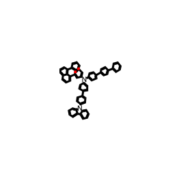 c1ccc(-c2ccc(-c3ccc(N(c4ccc(-c5ccc(-n6c7ccccc7c7ccccc76)cc5)cc4)c4cccc(-c5cccc6cccc(-c7ccccc7)c56)c4)cc3)cc2)cc1